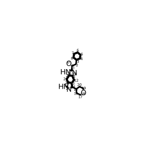 O=C(Cc1ccccc1)c1nc2cc3c(C4CCOCC4)n[nH]c3cc2[nH]1